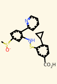 C[S+]([O-])c1ccc(-c2ccccn2)c(NSc2cc(C(=O)O)ccc2C2CC2)c1